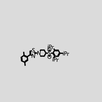 Cc1ccc(C)c(-c2csc(N3CCC(S(=O)(=O)c4c(C(C)C)cc(C(C)C)cc4C(C)C)CC3)n2)c1